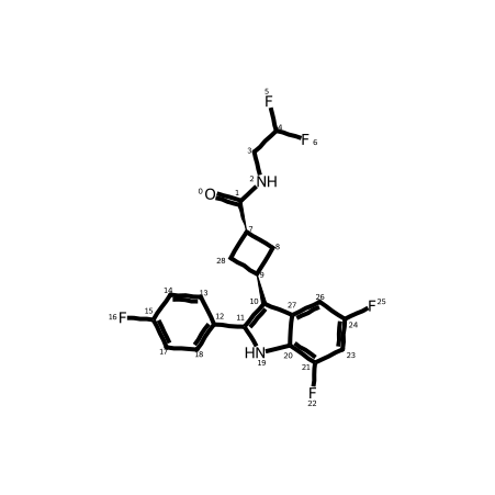 O=C(NCC(F)F)[C@H]1C[C@@H](c2c(-c3ccc(F)cc3)[nH]c3c(F)cc(F)cc32)C1